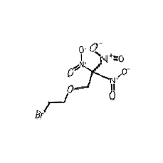 O=[N+]([O-])C(COCCBr)([N+](=O)[O-])[N+](=O)[O-]